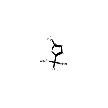 CCCCCCCC(C)(CCCCCC)c1ccc(C)s1